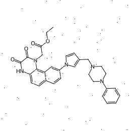 CCOC(=O)Cn1c(=O)c(=O)[nH]c2ccc3ccc(-n4ccc(CN5CCN(c6ccccc6)CC5)c4)cc3c21